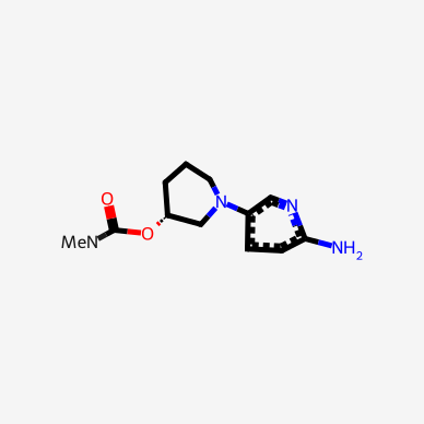 CNC(=O)O[C@@H]1CCCN(c2ccc(N)nc2)C1